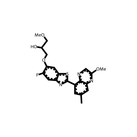 COCC(O)COc1cc2sc(-c3cc(C)cc4nc(OC)cnc34)nc2cc1F